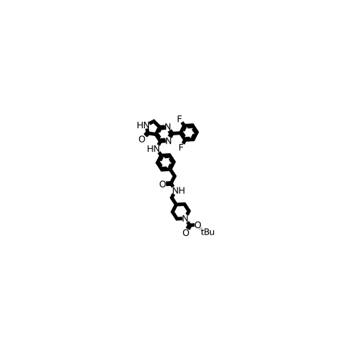 CC(C)(C)OC(=O)N1CCC(CNC(=O)Cc2ccc(Nc3nc(-c4c(F)cccc4F)nc4c3C(=O)NC4)cc2)CC1